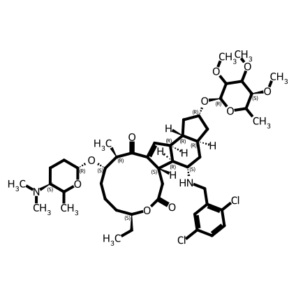 CC[C@H]1CCC[C@H](O[C@H]2CC[C@H](N(C)C)C(C)O2)[C@@H](C)C(=O)C2=C[C@H]3[C@@H]4C[C@H](O[C@@H]5OC(C)[C@H](OC)C(OC)C5OC)C[C@H]4C[C@H](NCc4cc(Cl)ccc4Cl)[C@H]3[C@@H]2CC(=O)O1